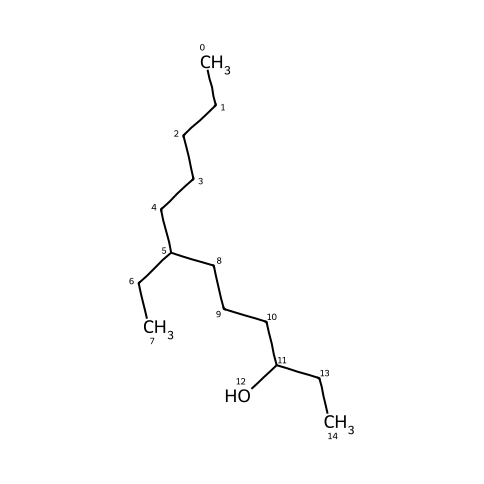 CCCCCC(CC)CCCC(O)CC